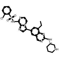 CCc1cc(-c2cnc3c(NS(=O)(=O)c4ccccc4Cl)nccn23)cc2cnc(N[C@H]3CCCNC3)nc12